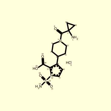 Cl.NC1(C(=O)N2CCC(c3ccn(S(N)(=O)=O)c3C(=O)O)CC2)CC1